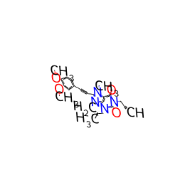 C#CCn1c(=O)c2c(nc(C#Cc3ccc(OC)c(OC)c3)n2C)n(CC(=C)C)c1=O